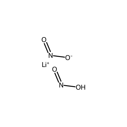 O=NO.O=N[O-].[Li+]